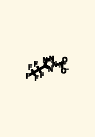 O=[N+]([O-])n1nnc(C(F)(F)C(F)(F)F)n1